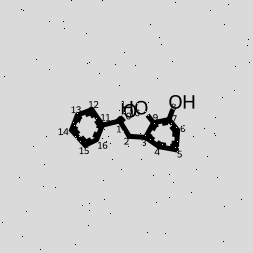 O=C(Cc1cccc(O)c1O)c1ccccc1